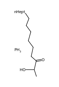 CCCCCCCCCCCCCC(=O)C(C)O.P